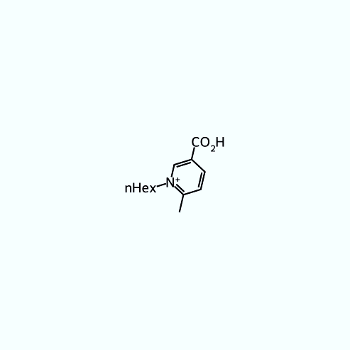 CCCCCC[n+]1cc(C(=O)O)ccc1C